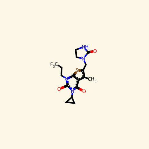 Cc1c(CN2CCNC2=O)sc2c1c(=O)n(C1CC1)c(=O)n2CCC(F)(F)F